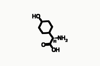 N[C@H](C(=O)O)C1CCC(O)CC1